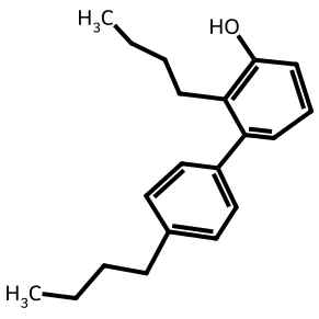 CCCCc1ccc(-c2cccc(O)c2CCCC)cc1